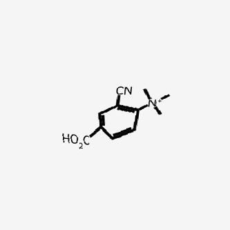 C[N+](C)(C)c1ccc(C(=O)O)cc1C#N